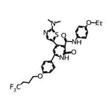 CCOc1ccc(NC(=O)c2c(-c3cnc(N(C)C)s3)cc(-c3ccc(OCCCC(F)(F)F)cc3)[nH]c2=O)cc1